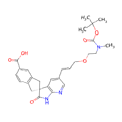 CN(CCOC/C=C/c1cnc2c(c1)[C@@]1(Cc3ccc(C(=O)O)cc3C1)C(=O)N2)C(=O)OC(C)(C)C